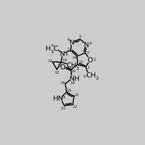 Cc1oc2ncnc(N(C)C3(C)CC3)c2c1C(=O)NCc1ccc[nH]1